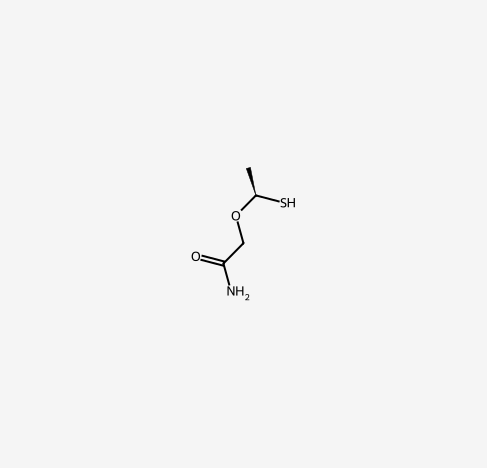 C[C@@H](S)OCC(N)=O